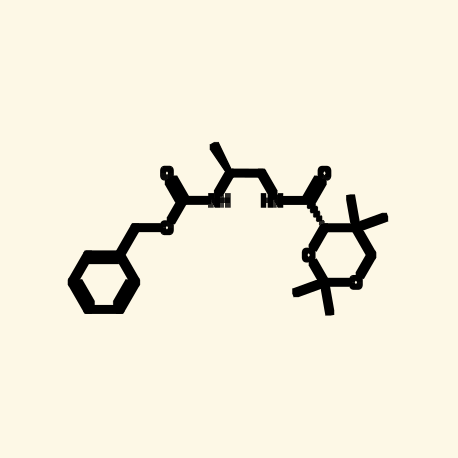 C[C@@H](CNC(=O)[C@H]1OC(C)(C)OCC1(C)C)NC(=O)OCc1ccccc1